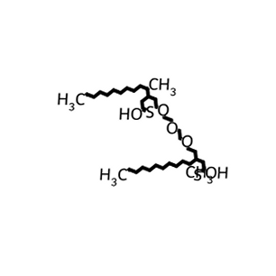 CCCCCCCCCCC(C)C(CCOCCOCCOCCC(CC(O)=S)C(C)CCCCCCCCCC)CC(O)=S